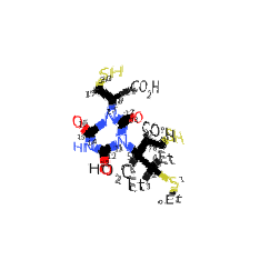 CCSC(CC)(CC)C(C(=O)O)(C(CS)C(=O)O)n1c(=O)[nH]c(=O)n(C(CS)C(=O)O)c1=O